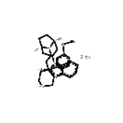 Cc1nc2ccccc2n1C1C[C@H]2CC[C@@H](C1)N2CCC1(c2cccc(OC(C)C)c2)CCNCC1.Cl.Cl